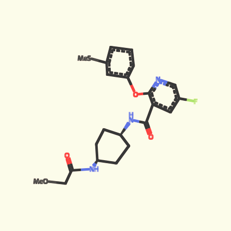 COCC(=O)N[C@H]1CC[C@@H](NC(=O)c2cc(F)cnc2Oc2cccc(SC)c2)CC1